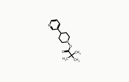 CC(C)(C)C(=O)ON1CCC(c2cccnc2)CC1